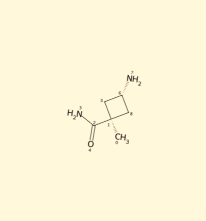 C[C@]1(C(N)=O)C[C@H](N)C1